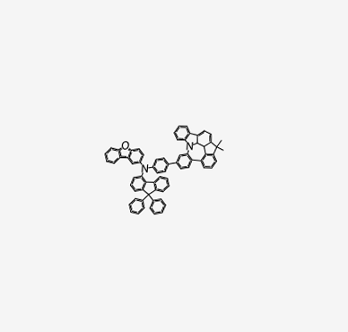 CC1(C)C2=CC=C3c4ccccc4N4c5cc(-c6ccc(N(c7ccc8oc9ccccc9c8c7)c7cccc8c7-c7ccccc7C8(c7ccccc7)c7ccccc7)cc6)ccc5-c5cccc1c5C2C34